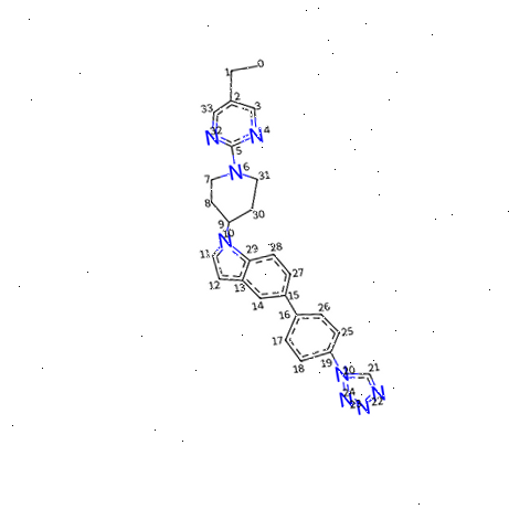 CCc1cnc(N2CCC(n3ccc4cc(-c5ccc(-n6cnnn6)cc5)ccc43)CC2)nc1